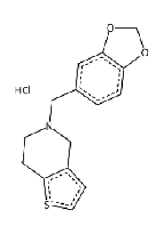 Cl.c1cc2c(s1)CCN(Cc1ccc3c(c1)OCO3)C2